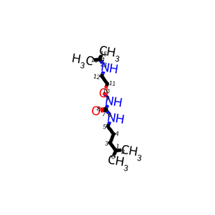 CC(C)CCCNC(=O)NOCCNC(C)C